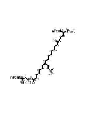 CCCCCC(CCCCC)CCOC(=O)CCCCCCCCC(CCCCCCC(=O)OCCC(CCCCC)CCCCC)CCN(C)C(C)C